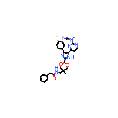 CN(C#N)c1nccc(-c2[nH]c(C3OCC(C)(CNC(=O)Cc4ccccc4)CO3)nc2-c2ccc(F)cc2)n1